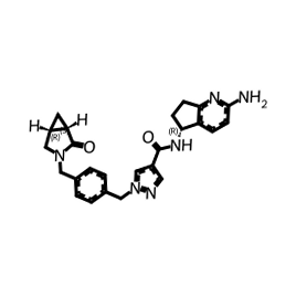 Nc1ccc2c(n1)CC[C@H]2NC(=O)c1cnn(Cc2ccc(CN3C[C@@H]4C[C@@H]4C3=O)cc2)c1